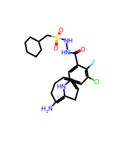 N/C1=C(/Nc2cc(Cl)c(F)c(C(=O)NNS(=O)(=O)CC3CCCCC3)c2)CC=C=CCC1